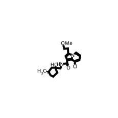 COCCc1cc(C(=O)NC[C@@]2(O)CCC[C@@H](C)C2)c2c(Cl)cccn12